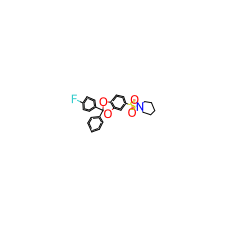 O=S(=O)(c1ccc2c(c1)OC(c1ccccc1)(c1ccc(F)cc1)O2)N1CCCCC1